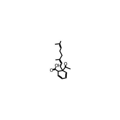 CC(=O)C1(C/C=C(\C)CCC=C(C)C)C=CC=CC1C(=O)O